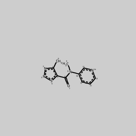 Cc1nnsc1C(=O)N(C)c1cccnc1